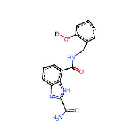 CCOc1ccccc1CNC(=O)c1cccc2nc(C(N)=O)[nH]c12